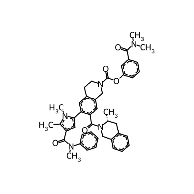 Cc1c(C(=O)N(C)c2ccccc2)cc(-c2cc3c(cc2C(=O)N2Cc4ccccc4C[C@H]2C)CN(C(=O)Oc2cccc(C(=O)N(C)C)c2)CC3)n1C